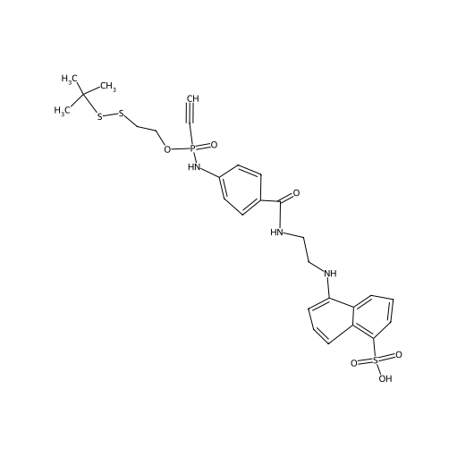 C#CP(=O)(Nc1ccc(C(=O)NCCNc2cccc3c(S(=O)(=O)O)cccc23)cc1)OCCSSC(C)(C)C